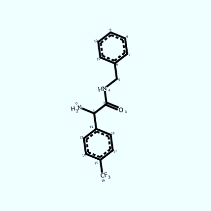 NC(C(=O)NCc1ccccc1)c1ccc(C(F)(F)F)cc1